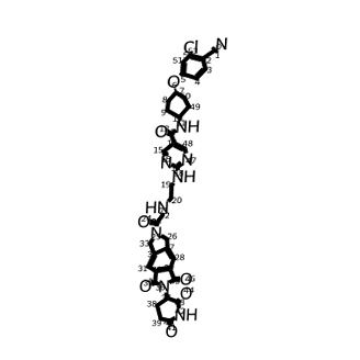 N#Cc1ccc(O[C@H]2CC[C@H](NC(=O)c3cnc(NCCNCC(=O)N4Cc5cc6c(cc5C4)C(=O)N(C4CCC(=O)NC4=O)C6=O)nc3)CC2)cc1Cl